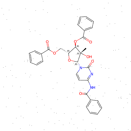 C[C@]1(O)[C@H](OC(=O)c2ccccc2)[C@@H](COC(=O)c2ccccc2)O[C@H]1n1ccc(NC(=O)c2ccccc2)nc1=O